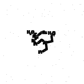 CC(C)[CH2][Al]([CH2]C(C)C)[CH2]C(C)C.CCC[CH2][Mg][CH2]C.O.O.[C]